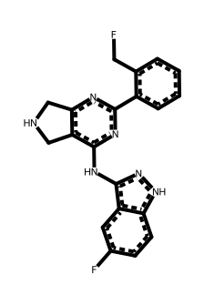 FCc1ccccc1-c1nc2c(c(Nc3n[nH]c4ccc(F)cc34)n1)CNC2